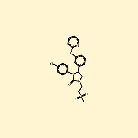 CS(=O)(=O)CCN1CC(c2cccc(Oc3ncccn3)c2)N(c2ccc(Cl)cc2)C1=O